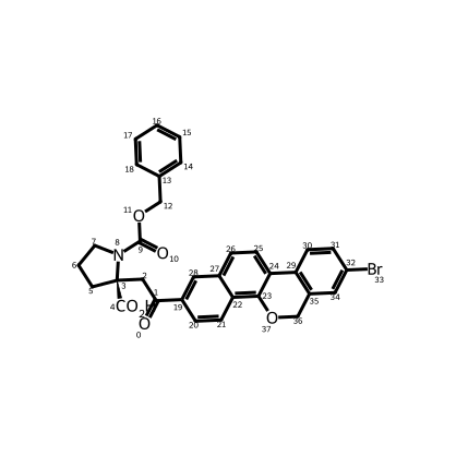 O=C(C[C@]1(C(=O)O)CCCN1C(=O)OCc1ccccc1)c1ccc2c3c(ccc2c1)-c1ccc(Br)cc1CO3